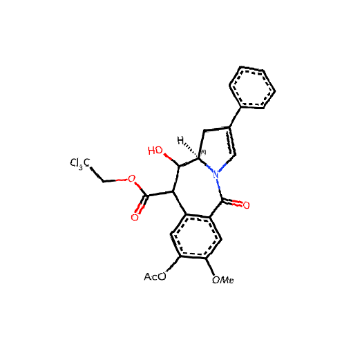 COc1cc2c(cc1OC(C)=O)C(C(=O)OCC(Cl)(Cl)Cl)C(O)[C@H]1CC(c3ccccc3)=CN1C2=O